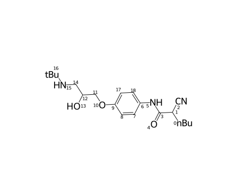 CCCCC(C#N)C(=O)Nc1ccc(OCC(O)CNC(C)(C)C)cc1